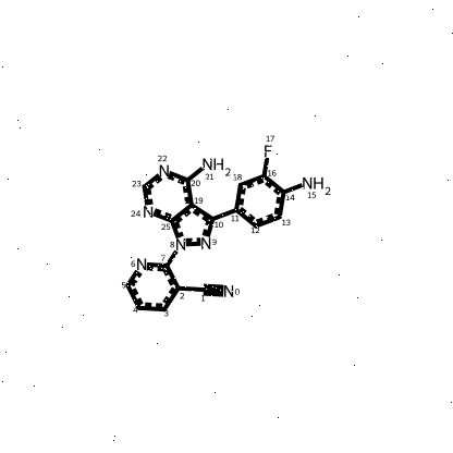 N#Cc1cccnc1-n1nc(-c2ccc(N)c(F)c2)c2c(N)ncnc21